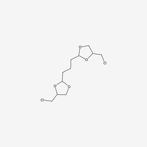 ClCC1COC(CCCC2OCC(CCl)O2)O1